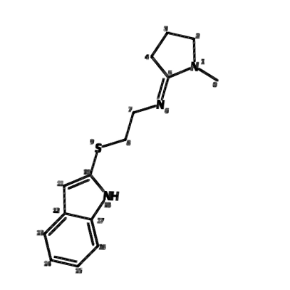 CN1CCCC1=NCCSc1cc2ccccc2[nH]1